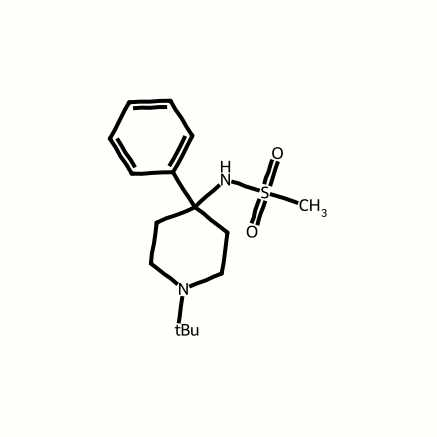 CC(C)(C)N1CCC(NS(C)(=O)=O)(c2ccccc2)CC1